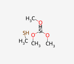 CO[SiH](OC)OC.CS